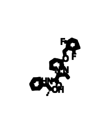 Cc1nc2c(OCc3c(F)cccc3F)cccn2c1C(=O)N[C@H](c1ccccc1)[C@@H](C)O